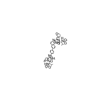 COC(=O)NC(C(=O)N1C[C@]2(CCCOC2)C[C@H]1c1nc2ccc3cc(-c4ccc(-c5c[nH]c([C@@H]6CC7C([C@@H]7C)N6C(=O)C(NC(=O)OC)C(C)C)n5)cc4)ccc3c2[nH]1)C(C)C